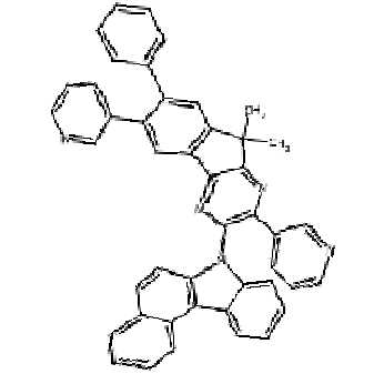 CC1(C)c2cc(-c3ccccc3)c(-c3cccnc3)cc2-c2nc(-n3c4ccccc4c4c5ccccc5ccc43)c(-c3cccnc3)nc21